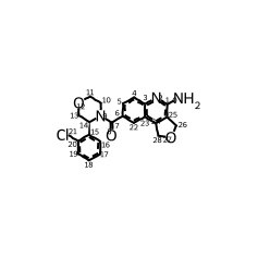 Nc1nc2ccc(C(=O)N3CCOC[C@@H]3c3ccccc3Cl)cc2c2c1COC2